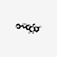 CCN1c2ncc(CC(O)c3ccncc3)cc2C(=O)N(C)c2ccc(Cl)nc21